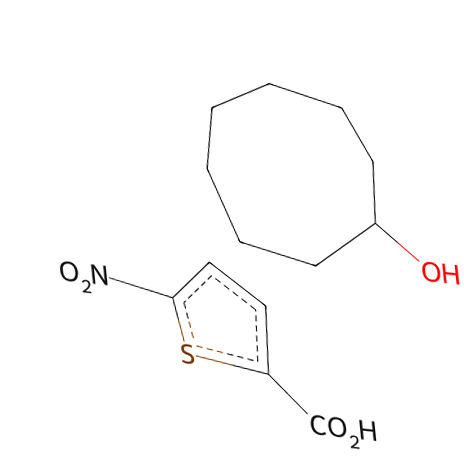 O=C(O)c1ccc([N+](=O)[O-])s1.OC1CCCCCCC1